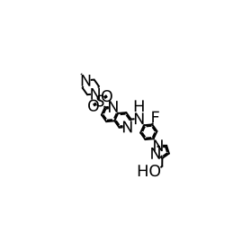 CN1CCN(S(=O)(=O)c2ccc3cnc(Nc4ccc(-n5ccc(CO)n5)cc4F)cc3n2)CC1